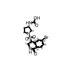 O=C(O)N[C@H]1CCN(S(=O)(=O)c2c[nH]c(=O)c3ccc(Br)cc23)C1